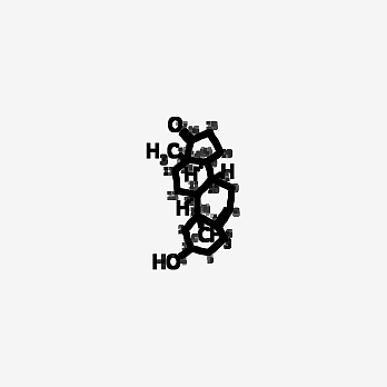 C[C@]12CC(O)CCC1=CC[C@@H]1[C@@H]2CC[C@]2(C)C(=O)CC[C@@H]12